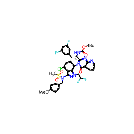 COc1ccc(CN(c2nn(CC(F)F)c3c(-n4c([C@H](Cc5cc(F)cc(F)c5)NC(=O)OC(C)(C)C)nc5ncccc5c4=O)ccc(Cl)c23)S(C)(=O)=O)cc1